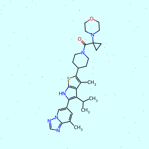 Cc1c(C2CCN(C(=O)C3(N4CCOCC4)CC3)CC2)sc2[nH]c(-c3cc(C)c4ncnn4c3)c(C(C)C)c12